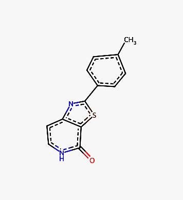 Cc1ccc(-c2nc3cc[nH]c(=O)c3s2)cc1